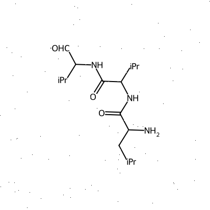 CC(C)CC(N)C(=O)NC(C(=O)NC([C]=O)C(C)C)C(C)C